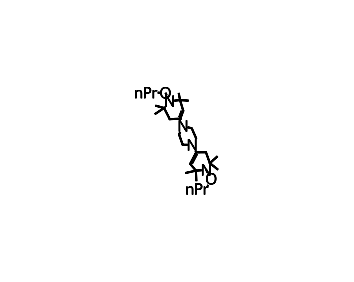 CCCON1C(C)(C)C=C(N2CCN(C3=CC(C)(C)N(OCCC)C(C)(C)C3)CC2)CC1(C)C